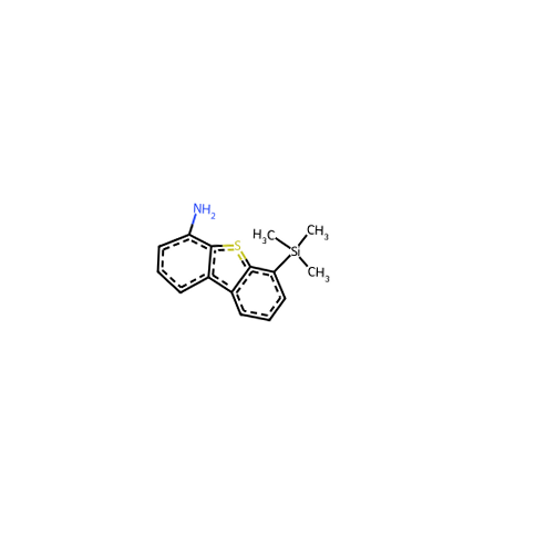 C[Si](C)(C)c1cccc2c1sc1c(N)cccc12